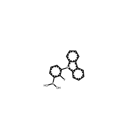 OB(O)c1cccc(-n2c3ccccc3c3ccccc32)c1F